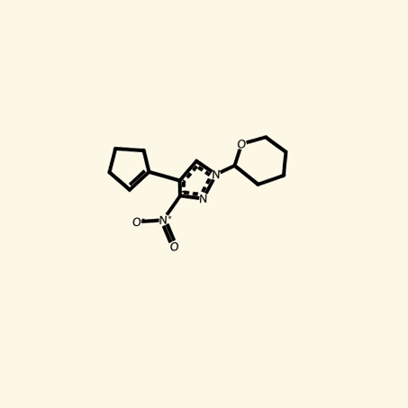 O=[N+]([O-])c1nn(C2CCCCO2)cc1C1=CCCC1